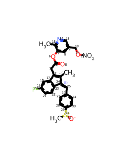 CC1=C(CC(=O)Oc2cc(CO[N+](=O)[O-])cnc2C)c2cc(F)ccc2/C1=C\c1ccc([S+](C)[O-])cc1